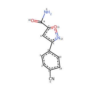 N#Cc1ccc(-c2cc(C(N)=O)on2)cc1